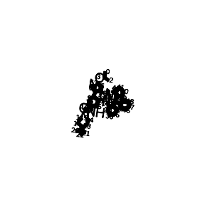 CC(C)Oc1ccc(-c2ccc(NC(=O)N3CCC(C(C)(C)C)CC3)cc2-c2nnn(C(c3ccccc3)(c3ccccc3)c3ccccc3)n2)cn1